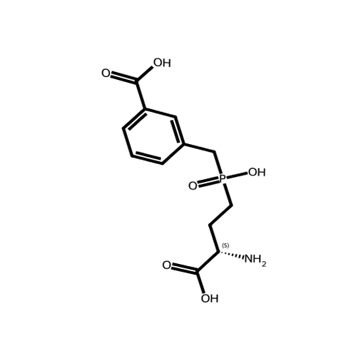 N[C@@H](CCP(=O)(O)Cc1cccc(C(=O)O)c1)C(=O)O